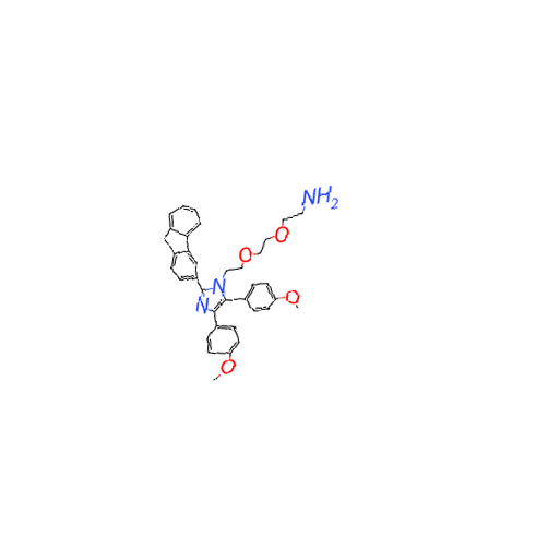 COc1ccc(-c2nc(-c3ccc4c(c3)-c3ccccc3C4)n(CCOCCOCCN)c2-c2ccc(OC)cc2)cc1